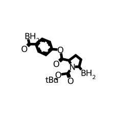 BC(=O)c1ccc(OC(=O)C2CCC(B)N2C(=O)OC(C)(C)C)cc1